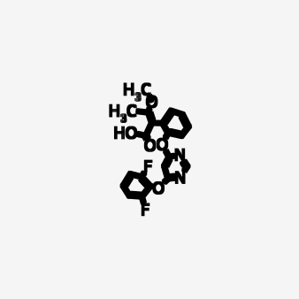 COC(C)=C(C(=O)O)c1ccccc1Oc1cc(Oc2c(F)cccc2F)ncn1